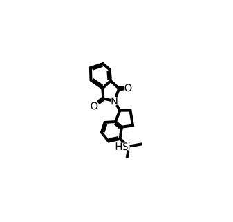 C[SiH](C)c1cccc2c1CCC2N1C(=O)c2ccccc2C1=O